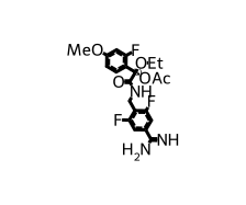 CCO[C@@](OC(C)=O)(C(=O)NCc1c(F)cc(C(=N)N)cc1F)c1ccc(OC)cc1F